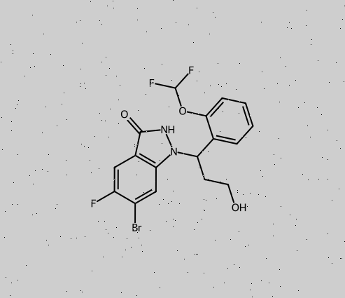 O=c1[nH]n(C(CCO)c2ccccc2OC(F)F)c2cc(Br)c(F)cc12